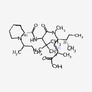 CCC(C)N1CCCC[C@@H]1C(=O)NC(C(=O)N(C)C(/C=C(\C)C(=O)O)[C@@H](C)CC)C(C)(C)C